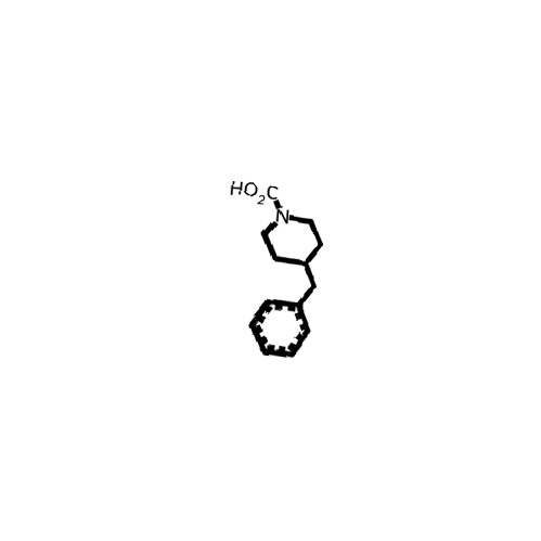 O=C(O)N1CCC(Cc2ccccc2)CC1